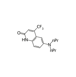 CCCN(CCC)c1ccc2[nH]c(=O)cc(C(F)(F)F)c2c1